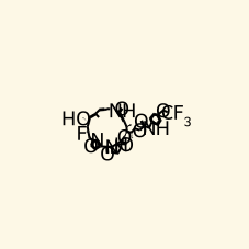 CC1=C\[C@@H](O)C[C@@H](F)Cc2nc(co2)C(=O)N2CCC[C@@H]2C(=O)O[C@H]([C@@H](C)COC(=O)Nc2ccc(OC(F)(F)F)cc2)[C@H](C)/C=C/C(=O)NC\C=C\1